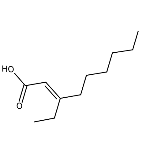 CCCCCCC(=CC(=O)O)CC